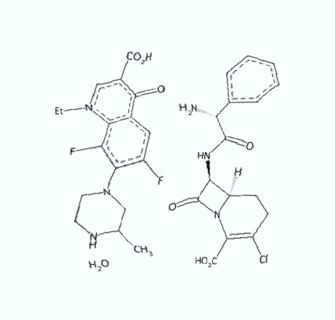 CCn1cc(C(=O)O)c(=O)c2cc(F)c(N3CCNC(C)C3)c(F)c21.N[C@@H](C(=O)N[C@@H]1C(=O)N2C(C(=O)O)=C(Cl)CC[C@H]12)c1ccccc1.O